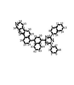 c1ccc(-c2nc(-c3ccc4ccccc4c3)nc(-c3ccc(-c4cccc5c4ccc4c6ccncc6sc54)c4ccccc34)n2)cc1